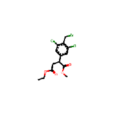 CCOC(=O)CC(C(=O)OC)c1cc(Cl)c(CBr)c(Cl)c1